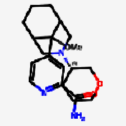 COC1(c2ccnc(C(N)=O)c2)C2CCCC1CN([C@H]1CCCOC1)C2